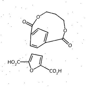 O=C(O)c1ccc(C(=O)O)o1.O=C1OCCCOC(=O)c2ccc1cc2